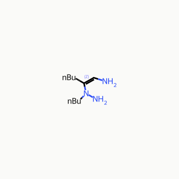 CCCC/C(=C/N)N(N)CCCC